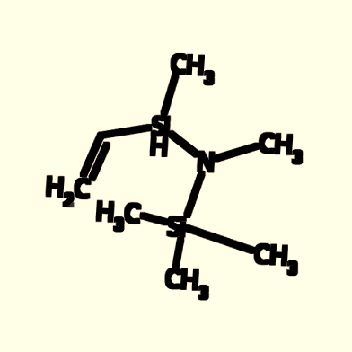 C=C[SiH](C)N(C)[Si](C)(C)C